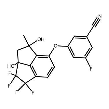 CC1(O)CC2(O)c3c(ccc(Oc4cc(F)cc(C#N)c4)c31)C(F)(F)C2(F)F